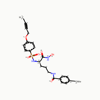 CC#CCOc1ccc(S(=O)(=O)N[C@H](CCCNC(=O)c2ccc(OC)cc2)C(=O)NO)cc1